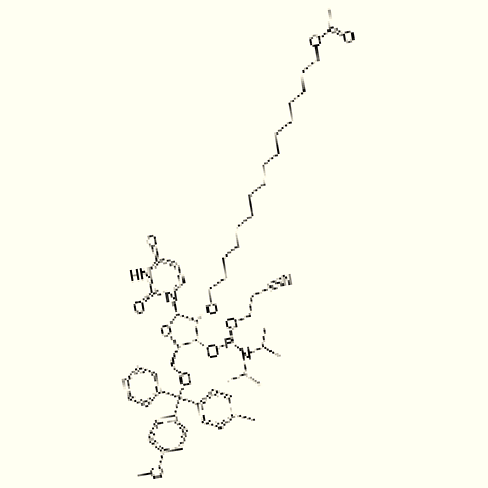 COc1ccc(C(OC[C@H]2O[C@@H](n3ccc(=O)[nH]c3=O)[C@H](OCCCCCCCCCCCCCCCCOC(C)=O)[C@@H]2OP(OCCC#N)N(C(C)C)C(C)C)(c2ccccc2)c2ccc(C)cc2)cc1